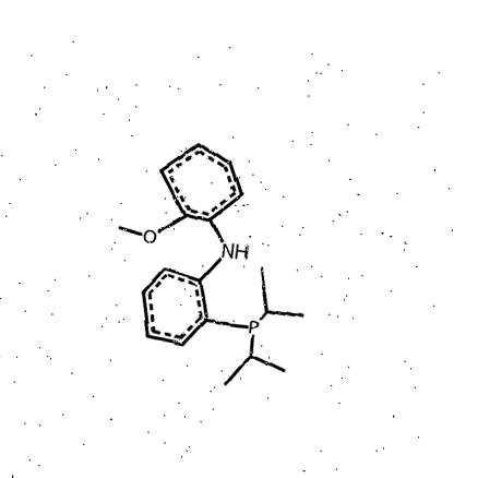 COc1ccccc1Nc1ccccc1P(C(C)C)C(C)C